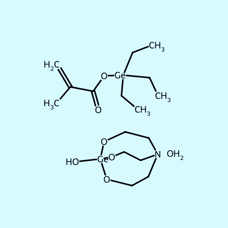 C=C(C)C(=O)[O][Ge]([CH2]C)([CH2]C)[CH2]C.O.[OH][Ge]12[O]CCN(CC[O]1)CC[O]2